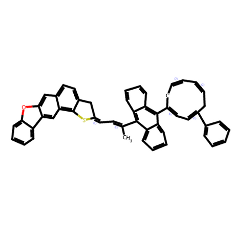 C/C(=C\C=C1/Cc2ccc3cc4oc5ccccc5c4cc3c2S1)c1c2ccccc2c(/C2=C/C=C(/c3ccccc3)C/C=C\C=C/C2)c2ccccc12